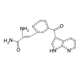 NC(=O)/C(N)=C/c1cccc(C(=O)c2c[nH]c3ncccc23)c1